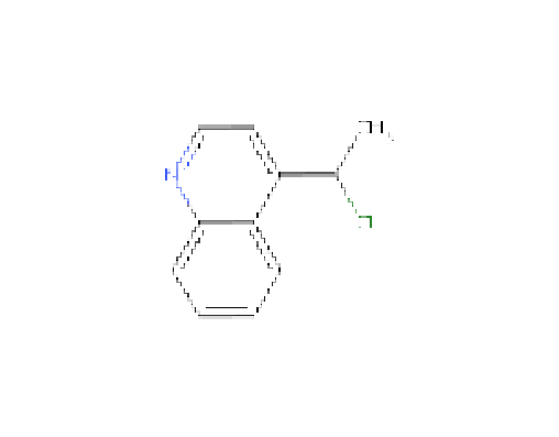 CC(Cl)c1ccnc2ccccc12